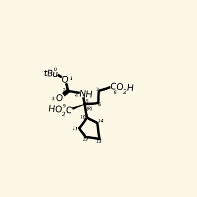 CC(C)(C)OC(=O)N[C@@](CCC(=O)O)(C(=O)O)C1CCCC1